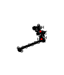 CC[C@H](C)[C@@H]([C@@H](CC(=O)N1CCC[C@H]1[C@H](OC)[C@@H](C)C(=O)N[C@@H](Cc1ccccc1)C(=O)O)OC)N(C)C(=O)[C@@H](NC(O)[C@]1(C)CCCN1C(=O)CCOCCOCCOCCOCCOCCOCCN1C(=O)C=CC1=O)C(C)C